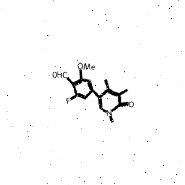 COc1cc(-c2cn(C)c(=O)c(C)c2C)cc(F)c1C=O